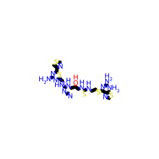 N#C/N=C(/NCCSC(N=C(N)N)c1cscn1)NCC(O)CNC(=S)NCCSC(N=C(N)N)c1cscn1